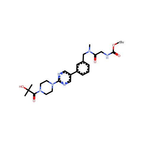 CN(Cc1cccc(-c2cnc(N3CCN(C(=O)C(C)(C)O)CC3)nc2)c1)C(=O)CNC(=O)OC(C)(C)C